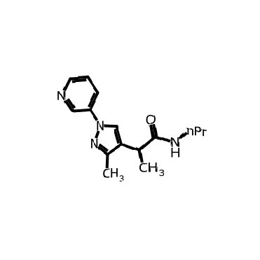 CCCNC(=O)C(C)c1cn(-c2cccnc2)nc1C